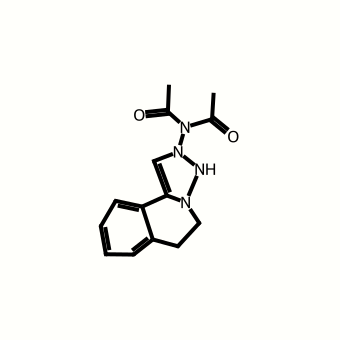 CC(=O)N(C(C)=O)N1C=C2c3ccccc3CCN2N1